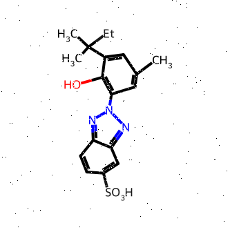 CCC(C)(C)c1cc(C)cc(-n2nc3ccc(S(=O)(=O)O)cc3n2)c1O